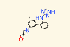 Cc1cc(-c2ccccc2Nc2nc[nH]n2)cc(N2CC3(COC3)C2)c1